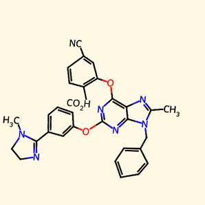 Cc1nc2c(Oc3cc(C#N)ccc3C(=O)O)nc(Oc3cccc(C4=NCCN4C)c3)nc2n1Cc1ccccc1